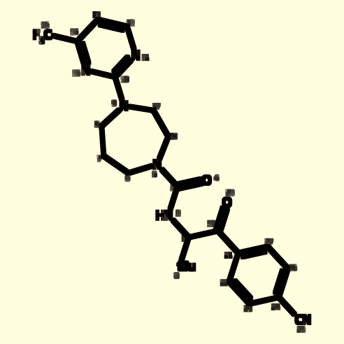 CC(C)(C)C(NC(=O)N1CCCN(c2nccc(C(F)(F)F)n2)CC1)C(=O)c1ccc(C#N)cc1